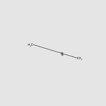 CCCCCCC=CCCCCCCCCCCCC(=O)OCCCCCCCCCCCCCCCCCCCCCCCCCCCCCCCCCCCCC